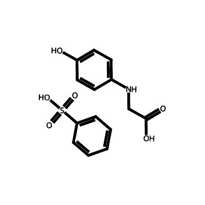 O=C(O)CNc1ccc(O)cc1.O=S(=O)(O)c1ccccc1